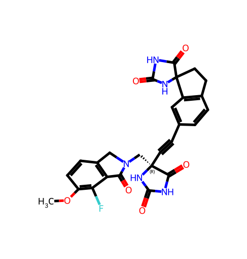 COc1ccc2c(c1F)C(=O)N(C[C@@]1(C#Cc3ccc4c(c3)C3(CC4)NC(=O)NC3=O)NC(=O)NC1=O)C2